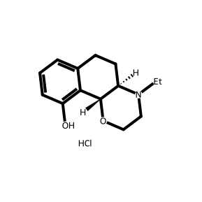 CCN1CCO[C@@H]2c3c(O)cccc3CC[C@H]21.Cl